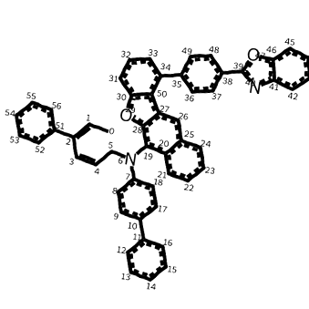 C/C=C(\C=C/CN(c1ccc(-c2ccccc2)cc1)c1c2ccccc2cc2c1oc1cccc(-c3ccc(-c4nc5ccccc5o4)cc3)c12)c1ccccc1